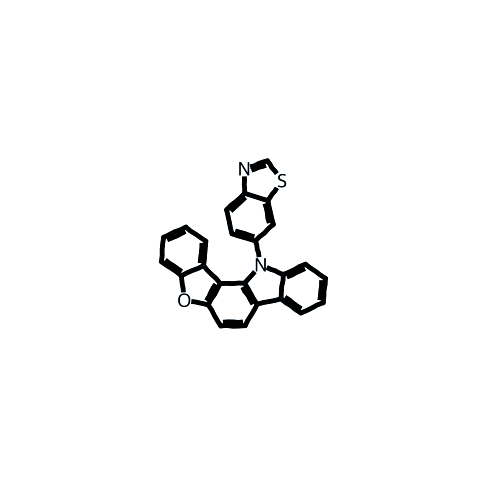 c1ccc2c(c1)oc1ccc3c4ccccc4n(-c4ccc5ncsc5c4)c3c12